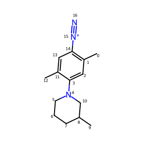 Cc1cc(N2CCCC(C)C2)c(C)cc1[N+]#N